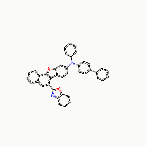 c1ccc(-c2ccc(N(c3ccccc3)c3ccc4c(c3)oc3c5ccccc5cc(-c5nc6ccccc6o5)c43)cc2)cc1